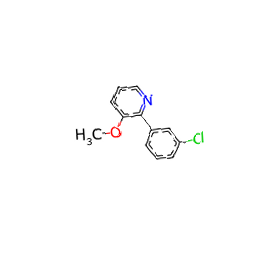 COc1cccnc1-c1cccc(Cl)c1